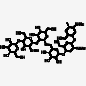 CC(=O)NC1C[C@H](O[C@@H]2OC(CO[C@H]3OC(CO)[C@@H](O)C(O)C3O[C@@H]3OC(CO)[C@@H](O[C@@H]4OC(CO)[C@H](O)C(O)C4O)C(O)C3NC(C)=O)[C@@H](O)C(O)C2O)C(CO)O[C@H]1O[C@H]1CC(NC(C)=O)[C@H](C)OC1CO